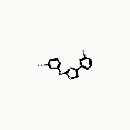 Oc1cccc(-c2csc(Nc3cccc(C(F)(F)F)c3)n2)c1